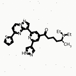 CCN(CC)[C@@H](C)CCCC(=O)c1cc(-c2cn[nH]c2)nc(-c2cnn3ccc(-c4cccs4)nc23)c1